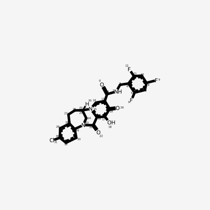 O=C(NCc1c(F)cc(F)cc1F)c1cn2c(c(O)c1=O)C(=O)N1C[C@@H]2CCc2cc(Cl)ccc21